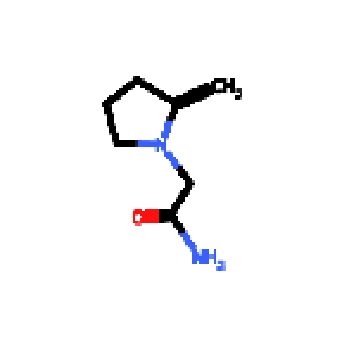 C=C1CCCN1CC(N)=O